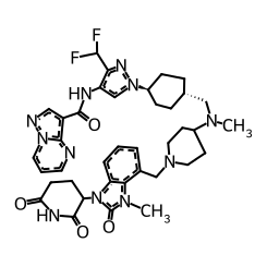 CN(C[C@H]1CC[C@H](n2cc(NC(=O)c3cnn4cccnc34)c(C(F)F)n2)CC1)C1CCN(Cc2cccc3c2n(C)c(=O)n3C2CCC(=O)NC2=O)CC1